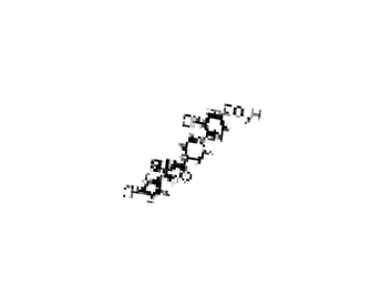 O=C(O)c1cnc(N2CCC(C(=O)NS(=O)(=O)c3ccc(Cl)s3)CC2)c(Cl)c1